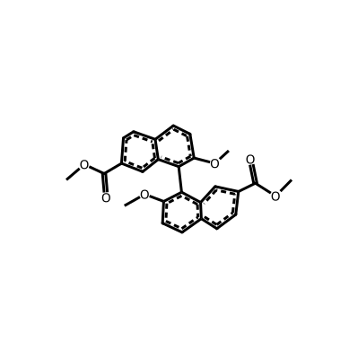 COC(=O)c1ccc2ccc(OC)c(-c3c(OC)ccc4ccc(C(=O)OC)cc34)c2c1